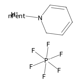 CCCCCN1C=CC=CC1.F[P-](F)(F)(F)(F)F.[H+]